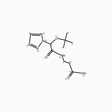 CC(C)(C)OC(C(=O)NCCC(=O)O)n1ncnn1